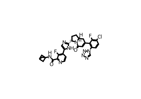 O=C(NC12CC(C1)C2)c1nccc(-c2cnc([C@@H]3CC[C@@H]4CC(c5c(-n6cnnn6)ccc(Cl)c5F)=CC(=O)N43)[nH]2)c1F